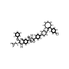 CN(C)CC[C@H](CSc1ccccc1)Nc1ccc(S(=O)(=O)NC(=O)c2ccc(N3CCN(CC4=C(c5ccc(Cl)cc5)CCCCCC4)CC3)cc2)cc1[N+](=O)[O-]